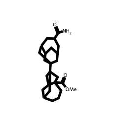 COC(=O)C12CCCC3CC1CC(C14CC5CC(C(N)=O)CC(C1)C(C5)C4)(C3)C2